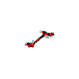 CC(c1c(NC(=O)Nc2cnc(-n3nccn3)c(Cl)c2)cnc2cc(Cl)nn12)N(C)C(=O)CCOCCOCCOCCOCCNc1cccc2c1C(=O)N(C1CCC(=O)NC1=O)C2=O